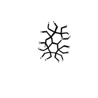 FCN1C2C(C(CF)(CF)C(CF)(CF)C1(CF)CF)C(CF)(CF)C(CF)(CF)C(CF)(CF)C2(CF)CF